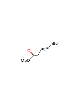 [CH2]CCC/C=C/CC(=O)OC